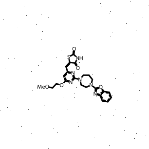 COCCOc1cc(C=C2SC(=O)NC2=O)nc(N2CCCN(c3nc4ccccc4o3)CC2)n1